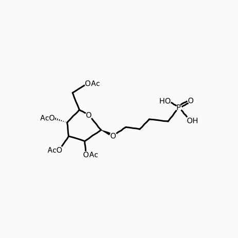 CC(=O)OCC1O[C@@H](OCCCCP(=O)(O)O)C(OC(C)=O)C(OC(C)=O)[C@@H]1OC(C)=O